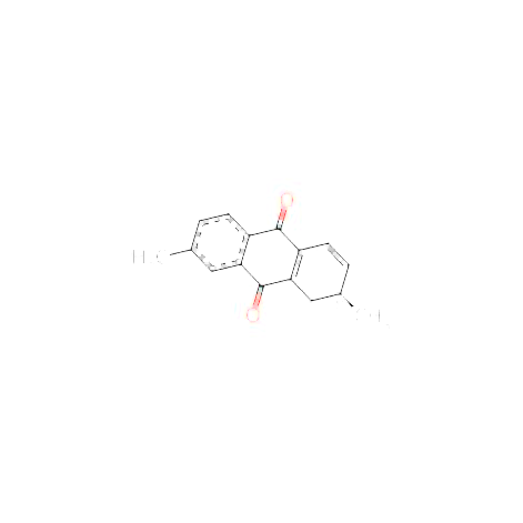 Cc1ccc2c(c1)C(=O)C1=C(C=C[C@@H](C)C1)C2=O